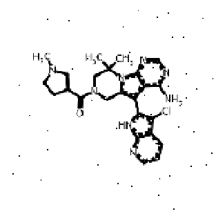 CN1CCC(C(=O)N2Cc3c(-c4[nH]c5ncccc5c4Cl)c4c(N)ncnc4n3C(C)(C)C2)C1